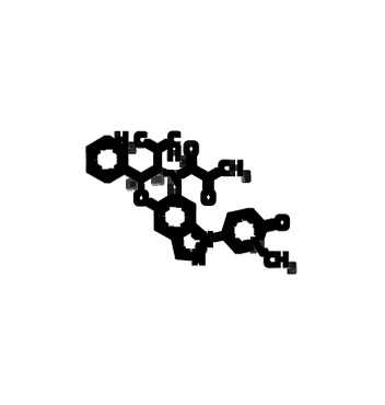 CC(=O)C(=O)N[C@@H](C(C)C)[C@H](Oc1ccc2c(cnn2-c2ccc(=O)n(C)c2)c1)c1ccccc1